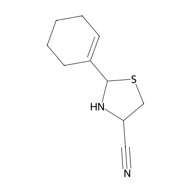 N#CC1CSC(C2=CCCCC2)N1